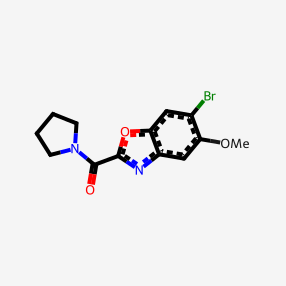 COc1cc2nc(C(=O)N3CCCC3)oc2cc1Br